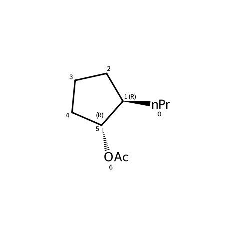 CCC[C@@H]1CCC[C@H]1OC(C)=O